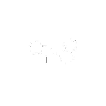 CC1=C(c2cccc3ccccc23)Cc2ccccc21